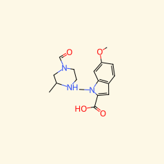 CC1CN(C=O)CCN1.COc1ccc2cc(C(=O)O)n(C)c2c1